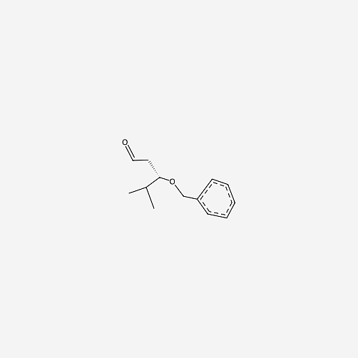 CC(C)[C@H](CC=O)OCc1ccccc1